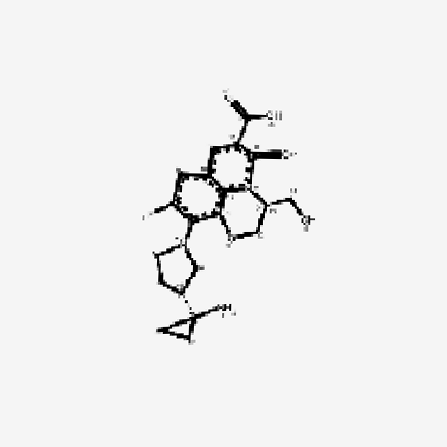 NC1([C@@H]2CCN(c3c(F)cc4cc(C(=O)O)c(=O)n5c4c3OC[C@@H]5CO)C2)CC1